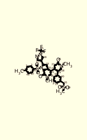 Cc1ccc(S(=O)(=O)n2c(-c3cnn(C(F)(F)F)c3)cc3c(-c4cc(=O)n(C)cc4-c4cccc(CS(C)(=O)=O)c4)cn(C)c(=O)c32)cc1